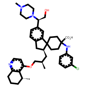 C[C@@H](COc1ccnc2c1[C@H](C)CCC2)C[C@H]1Cc2ccc([C@H](CO)N3CCN(C)CC3)cc2C12CCC(Nc1cccc(Cl)c1)(C(=O)O)CC2